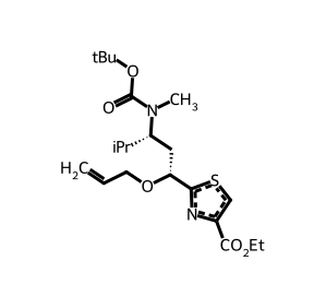 C=CCO[C@H](C[C@H](C(C)C)N(C)C(=O)OC(C)(C)C)c1nc(C(=O)OCC)cs1